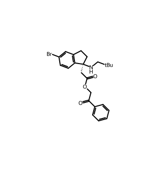 CC(C)(C)CN[C@]1(CC(=O)OCC(=O)c2ccccc2)CCc2cc(Br)ccc21